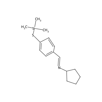 C[Si](C)(C)Sc1ccc(/C=N/C2CCCC2)cc1